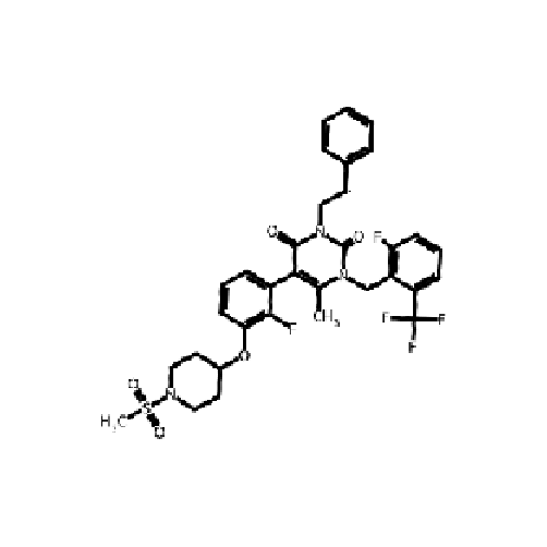 Cc1c(-c2cccc(OC3CCN(S(C)(=O)=O)CC3)c2F)c(=O)n(C[CH]c2ccccc2)c(=O)n1Cc1c(F)cccc1C(F)(F)F